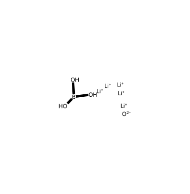 OB(O)O.[Li+].[Li+].[Li+].[Li+].[Li+].[O-2]